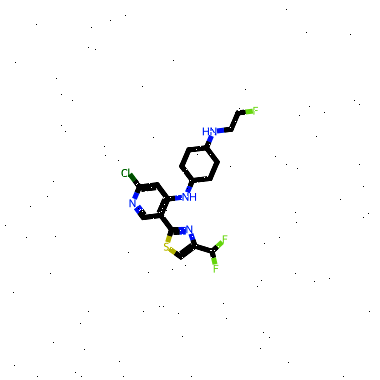 FCCNC1CCC(Nc2cc(Cl)ncc2-c2nc(C(F)F)cs2)CC1